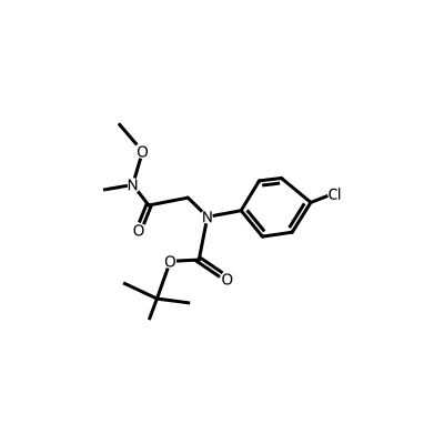 CON(C)C(=O)CN(C(=O)OC(C)(C)C)c1ccc(Cl)cc1